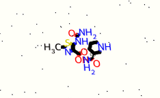 Cc1nc(C(=O)O)c(NC(N)=O)s1.NC(=O)[C@H]1CCCNC1